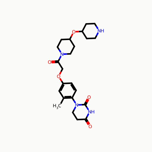 Cc1cc(OCC(=O)N2CCC(OC3CCNCC3)CC2)ccc1N1CCC(=O)NC1=O